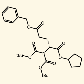 CC(C)(C)OC(=O)N(C(=O)OC(C)(C)C)[C@H](CCC(=O)OCc1ccccc1)C(=O)OC1CCCC1